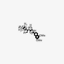 COc1cc2c(c(OC)c1)CCC(C(=O)N[C@@H](CO)C(=O)N[C@@H](CC(C)C)B1OC(C)(C)C(C)(C)O1)C2